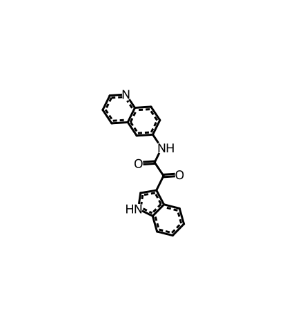 O=C(Nc1ccc2ncccc2c1)C(=O)c1c[nH]c2ccccc12